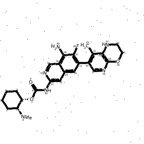 CN[C@H]1CCCC[C@@H]1OC(=O)Nc1cc2cc(-c3cnc4c(c3C)NCCO4)c(F)c(N)c2cn1